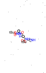 CC(C)(C)OC(=O)Nc1ccccc1NC(=O)c1ccc(C(NCC2CCNCC2)C(=O)OC(C)(C)C)cc1